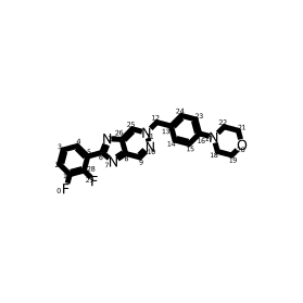 Fc1cccc(-c2nc3cnn(Cc4ccc(N5CCOCC5)cc4)cc-3n2)c1F